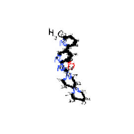 Cc1cccc(-c2cnc3nc(N4CCC(N5CCCCC5)CC4)oc3c2)n1